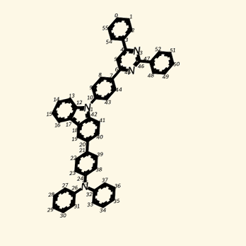 c1ccc(-c2cc(-c3ccc(-n4c5ccccc5c5cc(-c6ccc(N(c7ccccc7)c7ccccc7)cc6)ccc54)cc3)nc(-c3ccccc3)n2)cc1